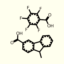 CC1c2ccccc2-c2cc(C(=O)O)ccc21.O=C(O)c1c(F)c(F)c(F)c(F)c1F